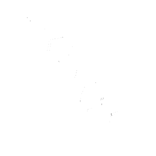 COC(=O)c1ccc(COc2ccc(C#N)cc2)cc1